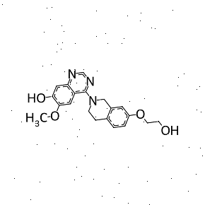 COc1cc2c(N3CCc4ccc(OCCO)cc4C3)ncnc2cc1O